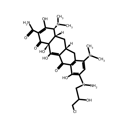 CN(C)c1cc(N(N)CC(O)CCl)c(O)c2c1C[C@H]1C[C@H]3[C@H](N(C)C)C(O)=C(C(N)=O)C(=O)[C@@]3(O)C(O)=C1C2=O